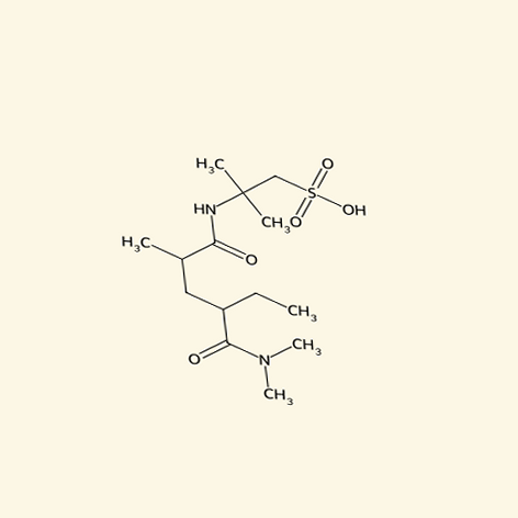 CCC(CC(C)C(=O)NC(C)(C)CS(=O)(=O)O)C(=O)N(C)C